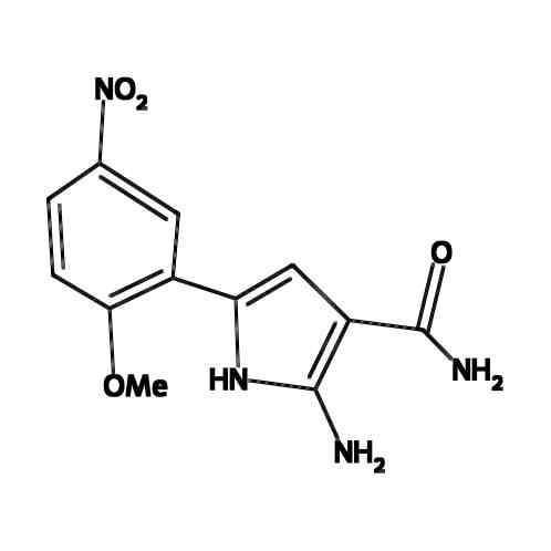 COc1ccc([N+](=O)[O-])cc1-c1cc(C(N)=O)c(N)[nH]1